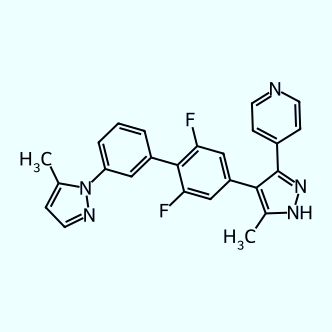 Cc1[nH]nc(-c2ccncc2)c1-c1cc(F)c(-c2cccc(-n3nccc3C)c2)c(F)c1